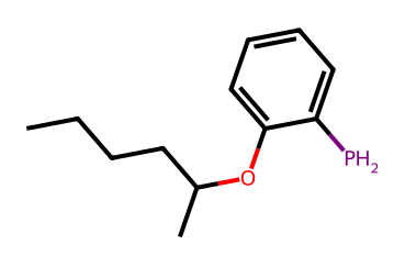 CCCCC(C)Oc1ccccc1P